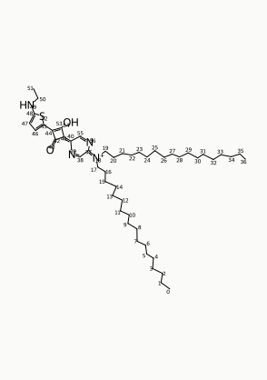 CCCCCCCCCCCCCCCCCC[N+](CCCCCCCCCCCCCCCCCC)=C1C=N/C(=C2\C(=O)C(c3ccc(NCC)s3)=C2O)C=N1